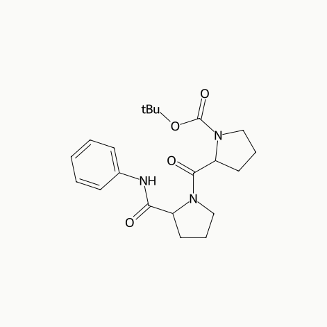 CC(C)(C)OC(=O)N1CCCC1C(=O)N1CCCC1C(=O)Nc1ccccc1